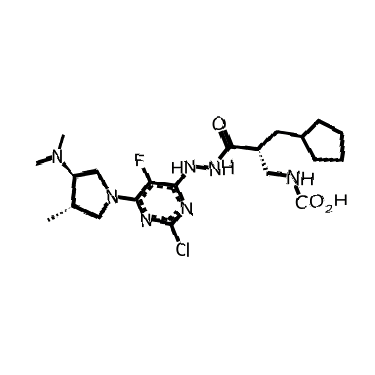 C[C@H]1CN(c2nc(Cl)nc(NNC(=O)[C@@H](CNC(=O)O)CC3CCCC3)c2F)C[C@@H]1N(C)C